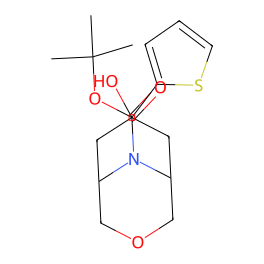 CC(C)(C)OC(=O)N1C2COCC1CC(O)(c1cccs1)C2